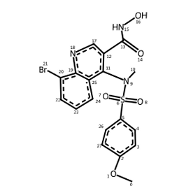 COc1ccc(S(=O)(=O)N(C)c2c(C(=O)NO)cnc3c(Br)cccc23)cc1